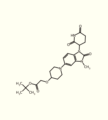 Cn1c(=O)n(C2CCC(=O)NC2=O)c2ccc(N3CCC(OCC(=O)OC(C)(C)C)CC3)cc21